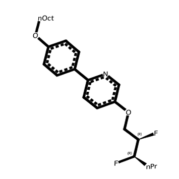 CCCCCCCCOc1ccc(-c2ccc(OC[C@@H](F)[C@H](F)CCC)cn2)cc1